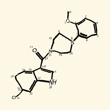 COc1ccccc1N1CCN(C(=O)c2c[nH]c3c2=CCC(Cl)C=3)CC1